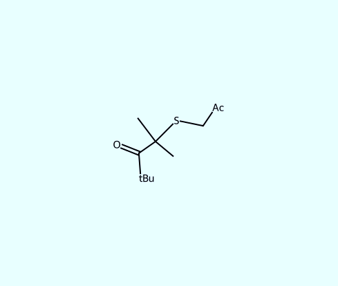 CC(=O)CSC(C)(C)C(=O)C(C)(C)C